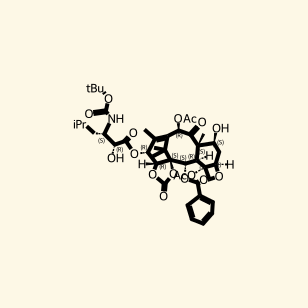 CC(=O)O[C@H]1C(=O)[C@@]2(C)[C@H]([C@H](OC(=O)c3ccccc3)[C@]34OC(=O)O[C@@H]3[C@H](OC(=O)[C@H](O)[C@H](CC(C)C)NC(=O)OC(C)(C)C)C(C)=C1C4(C)C)[C@]1(OC(C)=O)CO[C@@H]1C[C@@H]2O